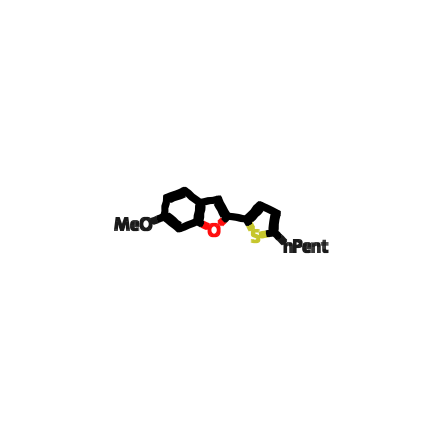 CCCCCc1ccc(-c2cc3ccc(OC)cc3o2)s1